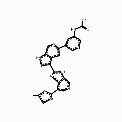 Cc1c[nH]c(-c2cncc3[nH]c(-c4n[nH]c5cnc(-c6cncc(NC(=O)C(C)C)c6)cc45)nc23)n1